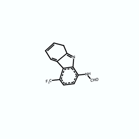 O=CNc1ccc(C(F)(F)F)c2c1N=C1CC=CC=C12